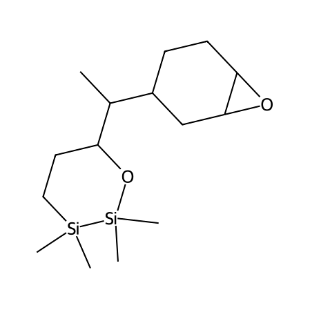 CC(C1CCC2OC2C1)C1CC[Si](C)(C)[Si](C)(C)O1